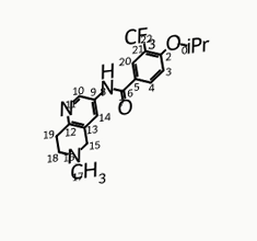 CC(C)Oc1ccc(C(=O)Nc2cnc3c(c2)CN(C)CC3)cc1C(F)(F)F